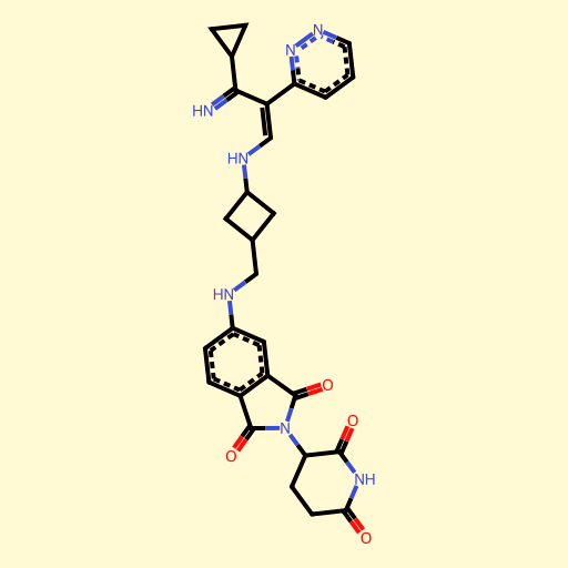 N=C(/C(=C\NC1CC(CNc2ccc3c(c2)C(=O)N(C2CCC(=O)NC2=O)C3=O)C1)c1cccnn1)C1CC1